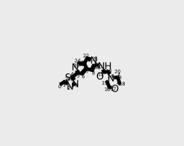 Cc1nnc(-c2cc3cc(NC(=O)CN4CCOC[C@H]4C)ncc3cn2)s1